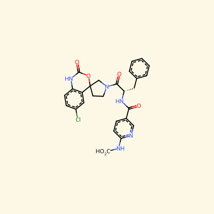 O=C(O)Nc1ccc(C(=O)N[C@@H](Cc2ccccc2)C(=O)N2CCC3(C2)OC(=O)Nc2ccc(Cl)cc23)cn1